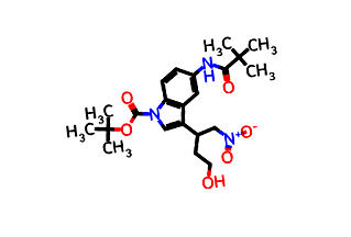 CC(C)(C)OC(=O)n1cc(C(CCO)C[N+](=O)[O-])c2cc(NC(=O)C(C)(C)C)ccc21